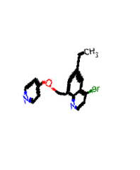 CCc1cc(COc2ccncc2)c2nccc(Br)c2c1